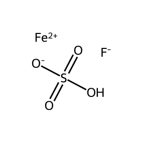 O=S(=O)([O-])O.[F-].[Fe+2]